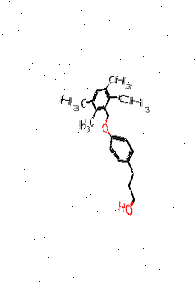 Cc1cc(C)c(C)c(COc2ccc(CCCO)cc2)c1C